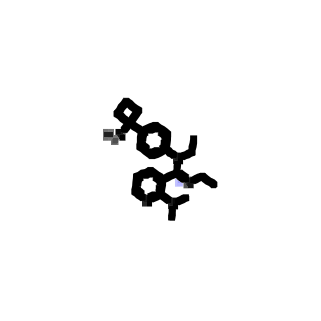 CC/N=C(/c1cccnc1N(C)C)N(CC)c1ccc(C2(N)CCC2)cc1